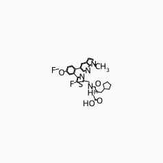 Cn1ccc2cc(-c3ccc(OCF)cc3-c3nc(CNC(=O)[C@@H](CC(=O)O)CC4CCCC4)sc3F)cnc21